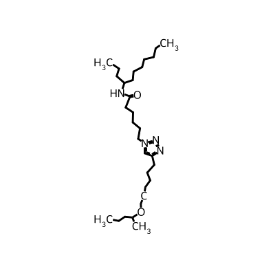 CCCCCCCC(CCC)NC(=O)CCCCCn1cc(CCCCCCOC(C)CCC)nn1